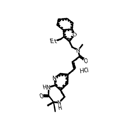 CCc1c(CN(C)C(=O)/C=C/c2cnc3c(c2)CNC(C)(C)C(=O)N3)oc2ccccc12.Cl